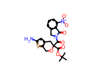 CC(C)(C)OC(=O)C1(C(=O)N2Cc3cccc([N+](=O)[O-])c3C2=O)Cc2cc(N)sc2CO1